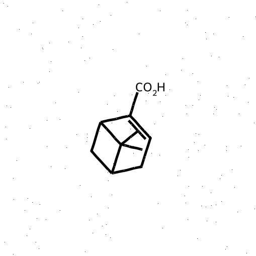 CC1(C)C2CC=C(C(=O)O)C1C2